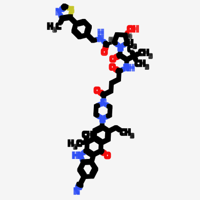 CCc1cc2c(cc1N1CCN(C(=O)CCCC(=O)NC(C(=O)N3C[C@H](O)C[C@H]3C(=O)NCc3ccc(-c4scnc4C)cc3)C(C)(C)C)CC1)C(C)(C)c1[nH]c3cc(C#N)ccc3c1C2=O